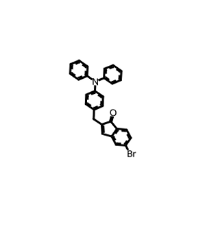 O=C1C(Cc2ccc(N(c3ccccc3)c3ccccc3)cc2)=Cc2cc(Br)ccc21